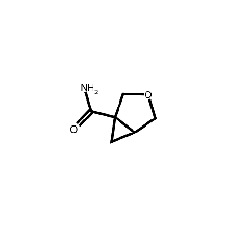 NC(=O)C12COCC1C2